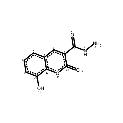 NNC(=O)c1cc2cccc(O)c2oc1=O